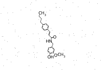 CCCCc1ccc(/C=C/C(=O)NCc2ccc(O)c(OC)c2)cc1